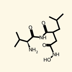 CC(C)CC(CC(=O)NO)C(=O)NC(=O)[C@@H](N)C(C)C